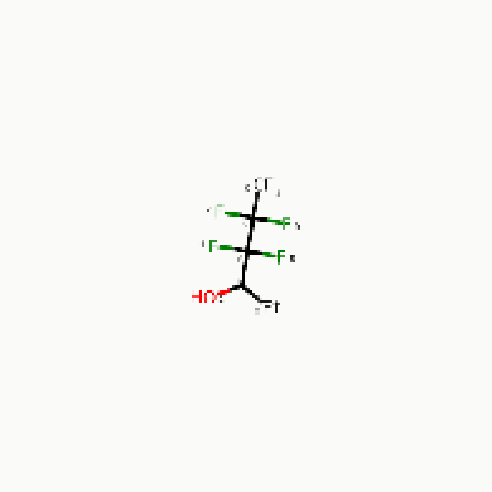 CCC(O)C(F)(F)C(F)(F)C(F)(F)F